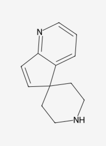 C1=CC2(CCNCC2)c2cccnc21